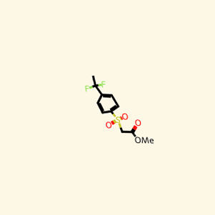 COC(=O)CS(=O)(=O)c1ccc(C(C)(F)F)cc1